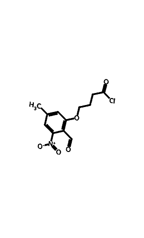 Cc1cc(OCCCC(=O)Cl)c(C=O)c([N+](=O)[O-])c1